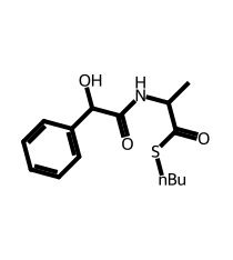 CCCCSC(=O)C(C)NC(=O)C(O)c1ccccc1